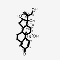 CC(C)(C)OC1CC2C3CCC4=CC(=O)C=C[C@]4(C)C3(F)[C@@H](O)C[C@]2(C)C1(O)C(=O)CO